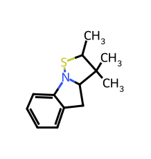 CC1SN2c3ccccc3CC2C1(C)C